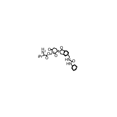 CC(C)C(N)C(=O)OCN1C(=O)CCC(N2Cc3cc(CNC(=O)Nc4ccccc4)ccc3C2=O)C1=O